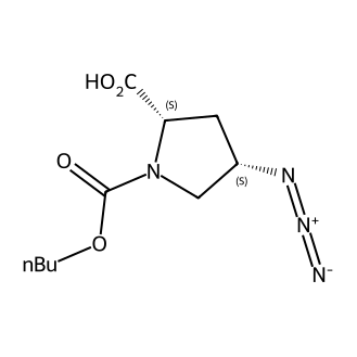 CCCCOC(=O)N1C[C@@H](N=[N+]=[N-])C[C@H]1C(=O)O